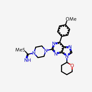 COc1ccc(-c2nc(N3CCN(C(=N)SC)CC3)nc3c2ncn3C2CCCCO2)cc1